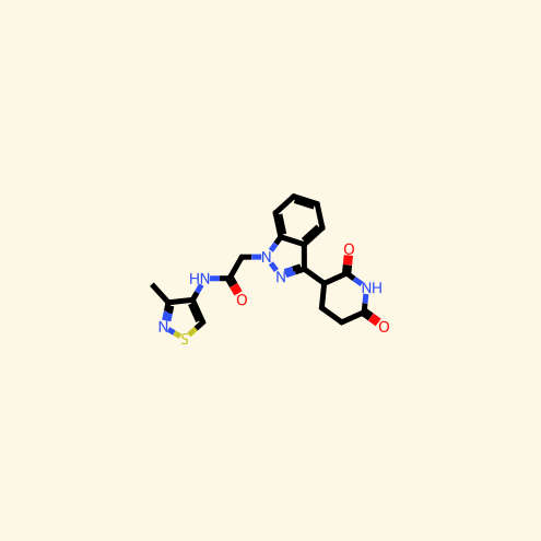 Cc1nscc1NC(=O)Cn1nc(C2CCC(=O)NC2=O)c2ccccc21